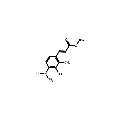 CCN(N)c1ccc(/C=C/C(=O)OC(C)(C)C)c(C)c1N